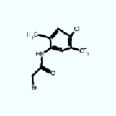 Cc1cc(Cl)c(C(F)(F)F)cc1NC(=O)CBr